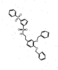 O=S(=O)(NCCc1ccc(OCc2ccccc2)c(OCc2ccccc2)c1)c1cccc(S(=O)(=O)c2ccccc2)c1